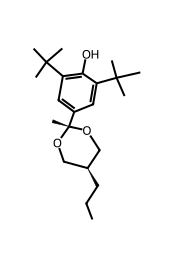 CCC[C@H]1CO[C@](C)(c2cc(C(C)(C)C)c(O)c(C(C)(C)C)c2)OC1